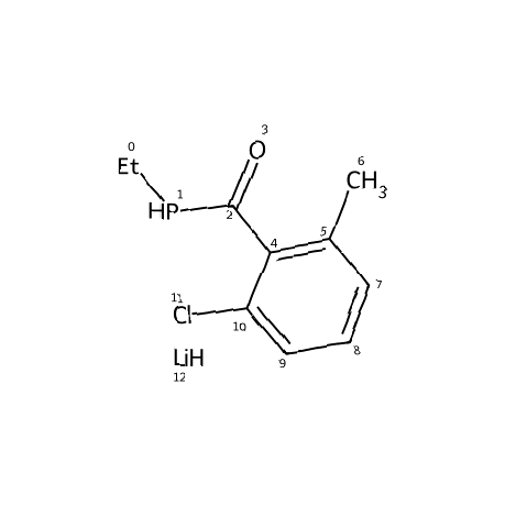 CCPC(=O)c1c(C)cccc1Cl.[LiH]